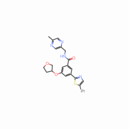 Cc1cnc(CNC(=O)c2cc(OC3CCOC3)cc(-c3ncc(C(C)C)s3)c2)cn1